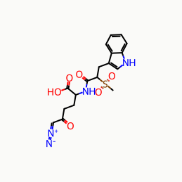 CS(=O)(=O)C(Cc1c[nH]c2ccccc12)C(=O)NC(CCC(=O)C=[N+]=[N-])C(=O)O